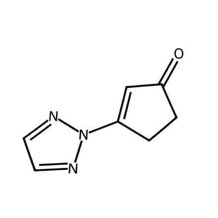 O=C1C=C(n2nccn2)CC1